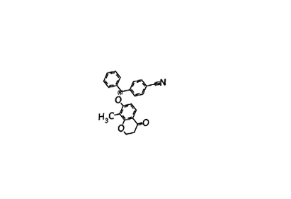 Cc1c(O[C@H](c2ccccc2)c2ccc(C#N)cc2)ccc2c1OCCC2=O